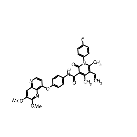 C=Cc1c(C)c(C(=O)Nc2ccc(Oc3ccnc4cc(OC)c(OC)nc34)cc2)c(=O)n(-c2ccc(F)cc2)c1C